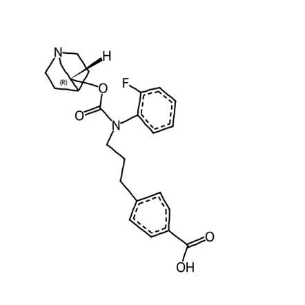 O=C(O)c1ccc(CCCN(C(=O)O[C@H]2CN3CCC2CC3)c2ccccc2F)cc1